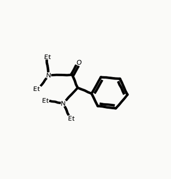 CCN(CC)C(=O)C(c1ccccc1)N(CC)CC